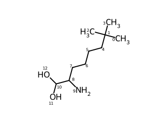 CC(C)(C)CCCCC(N)C(O)O